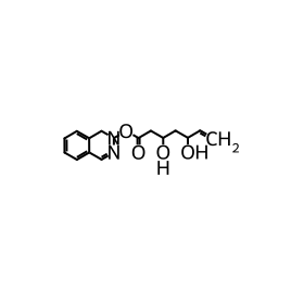 C=CC(O)CC(O)CC(=O)ON1Cc2ccccc2C=N1